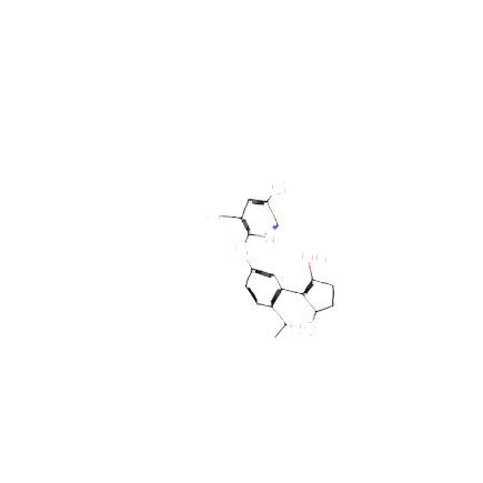 CCc1ccc(Oc2ncc(Cl)cc2Cl)cc1C1=C(O)CCC1O